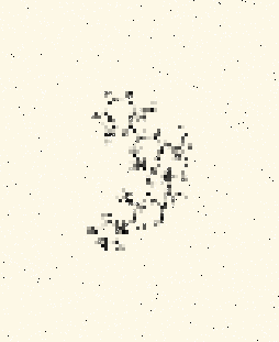 CCN(C[C@@]1(C(C)C)CC[C@H](C)c2cc(-c3c(F)cccc3F)nnc21)C(=O)Cn1ccnc1